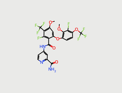 COc1cc(Oc2ccc(OC(F)(F)F)c(F)c2OC)c(C(=O)Nc2ccnc(C(N)=O)c2)c(F)c1C(F)(F)F